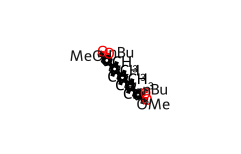 CCCCOC1CC(C2CC(C)C(C3CC(C)C(C4CC(C)C(C5CCC(C(=O)OC)C(OCCCC)C5)CC4C)CC3C)CC2C)CCC1C(=O)OC